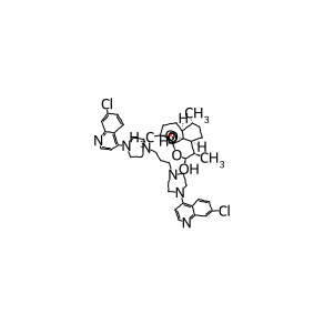 C[C@H]1[C@@H](O)O[C@@H]2OC3(C)CC[C@H]4[C@H](C)CC[C@@H]1[C@@]24OO3.Clc1ccc2c(N3CCN(CCCN4CCN(c5ccnc6cc(Cl)ccc56)CC4)CC3)ccnc2c1